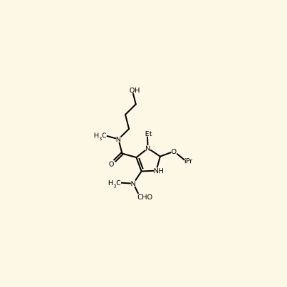 CCN1C(C(=O)N(C)CCCO)=C(N(C)C=O)NC1OC(C)C